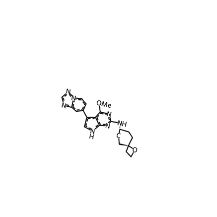 COc1nc(N[C@H]2CC[C@@]3(CCO3)CC2)nc2[nH]cc(-c3ccn4ncnc4c3)c12